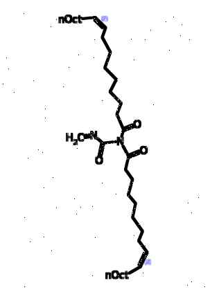 C=NC(=O)N(C(=O)CCCCCCC/C=C\CCCCCCCC)C(=O)CCCCCCC/C=C\CCCCCCCC